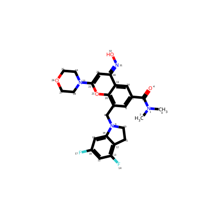 CN(C)C(=O)c1cc(CN2CCc3c(F)cc(F)cc32)c2oc(N3CCOCC3)cc(=NO)c2c1